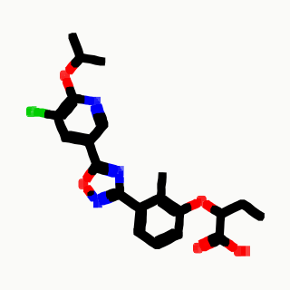 CCC(Oc1cccc(-c2noc(-c3cnc(OC(C)C)c(Cl)c3)n2)c1C)C(=O)O